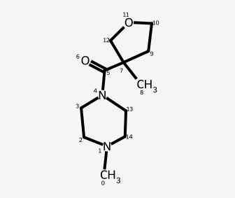 CN1CCN(C(=O)C2(C)CCOC2)CC1